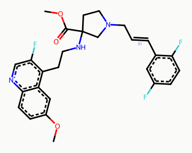 COC(=O)C1(NCCc2c(F)cnc3ccc(OC)cc23)CCN(C/C=C/c2cc(F)ccc2F)C1